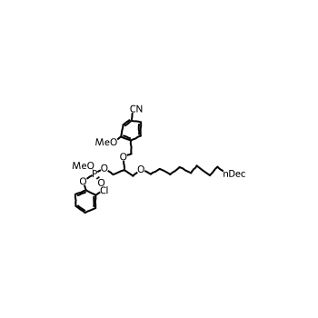 CCCCCCCCCCCCCCCCCCOCC(COP(=O)(OC)Oc1ccccc1Cl)OCc1ccc(C#N)cc1OC